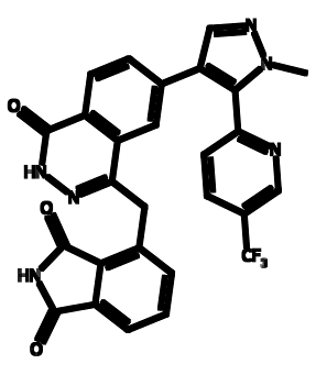 Cn1ncc(-c2ccc3c(=O)[nH]nc(Cc4cccc5c4C(=O)NC5=O)c3c2)c1-c1ccc(C(F)(F)F)cn1